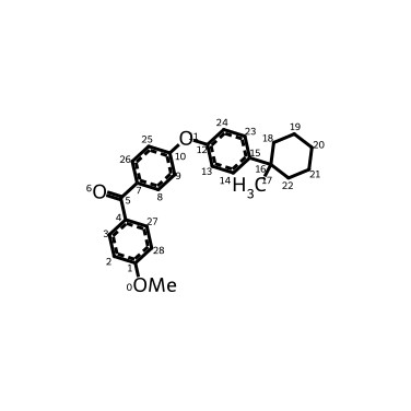 COc1ccc(C(=O)c2ccc(Oc3ccc(C4(C)CCCCC4)cc3)cc2)cc1